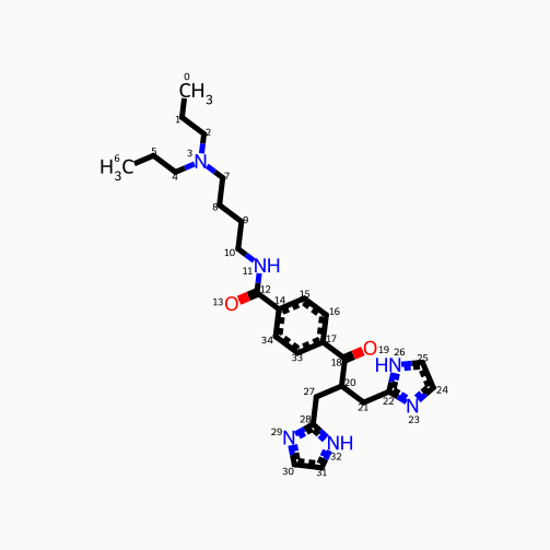 CCCN(CCC)CCCCNC(=O)c1ccc(C(=O)C(Cc2ncc[nH]2)Cc2ncc[nH]2)cc1